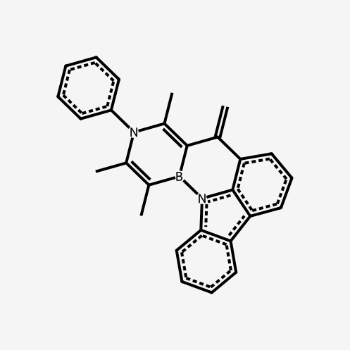 C=C1C2=C(C)N(c3ccccc3)C(C)=C(C)B2n2c3ccccc3c3cccc1c32